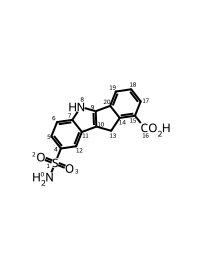 NS(=O)(=O)c1ccc2[nH]c3c(c2c1)Cc1c(C(=O)O)cccc1-3